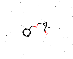 C[C@]1(C=O)C[C@@H]1COCc1ccccc1